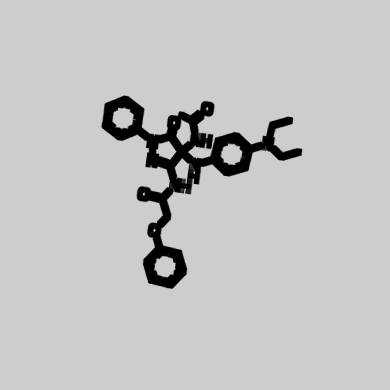 CCN(CC)c1ccc(NC2(NC(C)=O)C(=O)N(c3ccccc3)N=C2NC(=O)COc2ccccc2)cc1